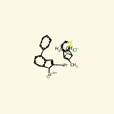 CC(C)C1=Cc2c(-c3ccccc3)cccc2[CH]1[Zr+2].CC1=C2c3ccsc3C1[Si]2(C)C.[Cl-].[Cl-]